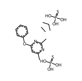 CC.CCC.Cc1cc(Oc2ccccc2)nc(C)n1.OP(O)(O)=S.OP(O)(O)=S